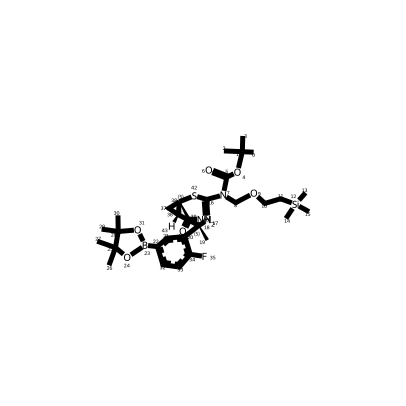 CC(C)(C)OC(=O)N(COCC[Si](C)(C)C)C1=N[C@](C)(c2cc(B3OC(C)(C)C(C)(C)O3)ccc2F)[C@@H]2C[C@]2(C(N)=O)S1